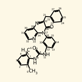 Cc1cccc(C)c1NC(=O)Nc1cccc(-n2c(=O)c(Cc3ccccc3)nc3cccnc32)c1